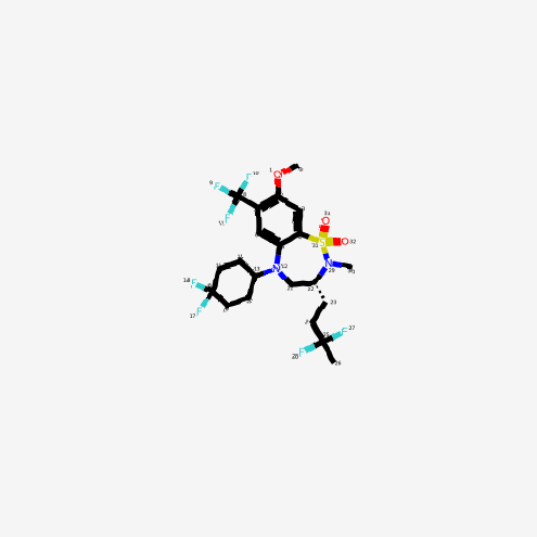 COc1cc2c(cc1C(F)(F)F)N(C1CCC(F)(F)CC1)C[C@@H](CCC(C)(F)F)N(C)S2(=O)=O